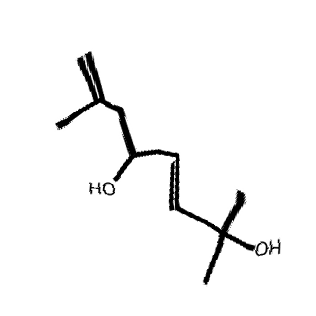 C=C(C)CC(O)C=CC(C)(C)O